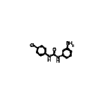 Bc1cccc(NC(=O)Nc2ccc(Cl)cc2)c1